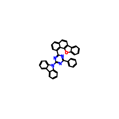 c1ccc(-c2nc(-c3cccc4ccc5c6ccccc6oc5c34)nc(-n3c4ccccc4c4ccccc43)n2)cc1